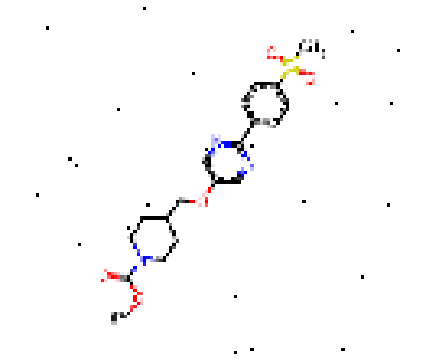 CC(C)OC(=O)N1CCC(COc2cnc(-c3ccc(S(C)(=O)=O)cc3)nc2)CC1